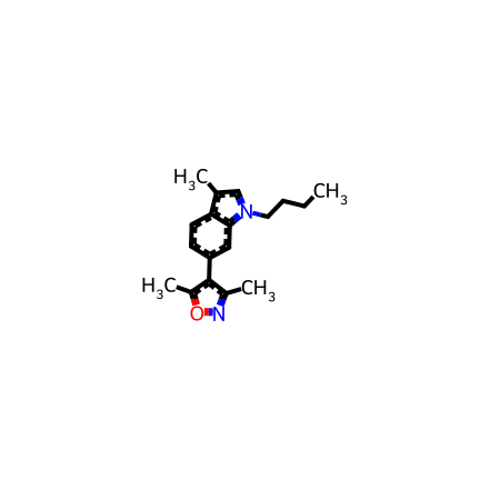 CCCCn1cc(C)c2ccc(-c3c(C)noc3C)cc21